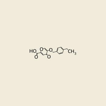 CCc1ccc(COc2coc(C(=O)O)cc2=O)cc1